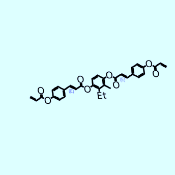 C=CC(=O)Oc1ccc(/C=C/C(=O)Oc2ccc(OC(=O)/C=C/c3ccc(OC(=O)C=C)cc3)c(CC)c2C)cc1